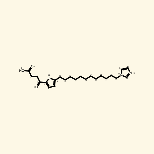 O=C(O)CCC(=O)c1ccc(CCCCCCCCCCCCn2ccnc2)s1